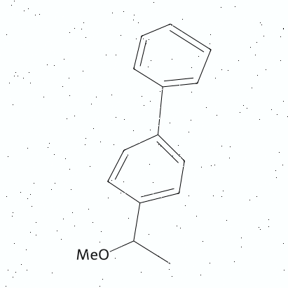 COC(C)c1ccc(-c2ccccc2)cc1